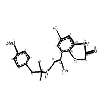 COc1ccc(CC(C)(C)NCC(O)c2cc(O)cc3c2OCC(=O)N3)cc1